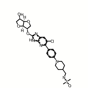 CS(C)(=O)=NCC1CCN(c2ccc(-c3nc4[nH]c(O[C@@H]5CO[C@H]6[C@@H]5OC[C@H]6O)nc4cc3Cl)cc2)CC1